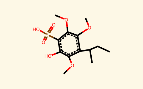 CCC(C)c1c(OC)c(O)c(S(=O)(=O)O)c(OC)c1OC